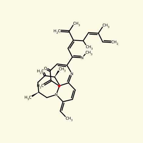 C=C/C(C)=C\C(C)/C(=C\C(=N/C)C1=CC(=O)C(=C)CC(/C=C\C(=C/C)N2C[C@@H](C)CC(=C)[C@@H](C)C2)=N1)C(=C)C